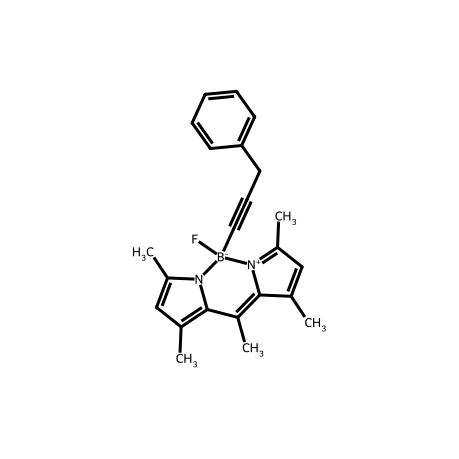 CC1=CC(C)=[N+]2C1=C(C)c1c(C)cc(C)n1[B-]2(F)C#CCc1ccccc1